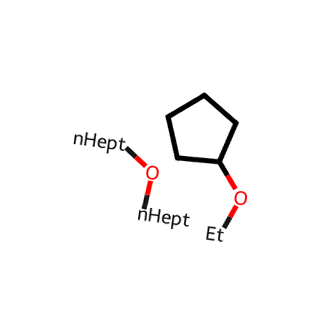 CCCCCCCOCCCCCCC.CCOC1CCCC1